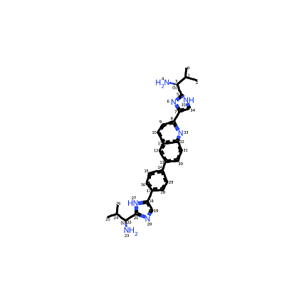 CC(C)[C@H](N)c1nc(-c2ccc3cc(-c4ccc(-c5cnc([C@@H](N)C(C)C)[nH]5)cc4)ccc3n2)c[nH]1